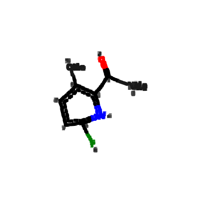 CNC(=O)c1nc(F)ccc1OC